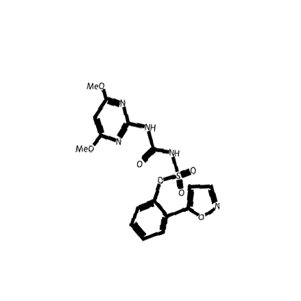 COc1cc(OC)nc(NC(=O)NS(=O)(=O)Oc2ccccc2-c2ccno2)n1